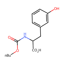 CCCCOC(=O)NC(Cc1cccc(O)c1)C(=O)O